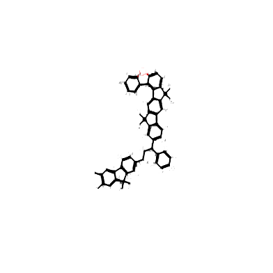 Cc1cc2c(cc1C)C(C)(C)c1cc(CCC(c3ccccc3)c3ccc4c(c3)C(C)(C)c3cc5c(cc3-4)C(C)(C)c3ccc4oc6ccccc6c4c3-5)ccc1-2